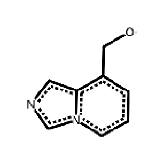 [O]Cc1cccn2cncc12